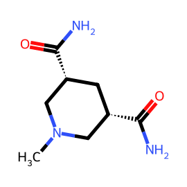 CN1C[C@H](C(N)=O)C[C@H](C(N)=O)C1